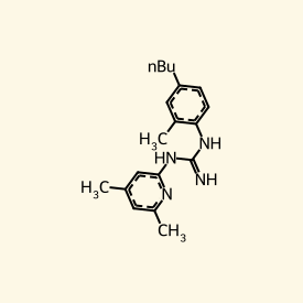 CCCCc1ccc(NC(=N)Nc2cc(C)cc(C)n2)c(C)c1